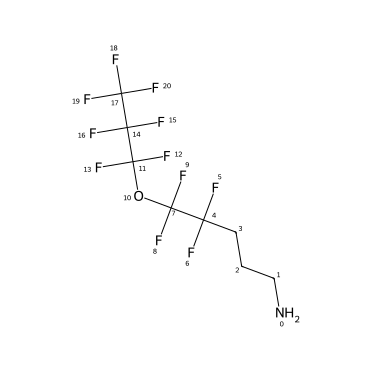 NCCCC(F)(F)C(F)(F)OC(F)(F)C(F)(F)C(F)(F)F